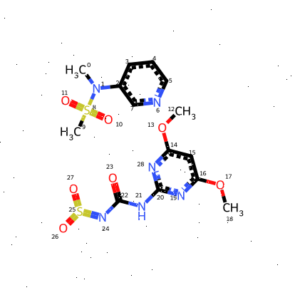 CN(c1cccnc1)S(C)(=O)=O.COc1cc(OC)nc(NC(=O)N=S(=O)=O)n1